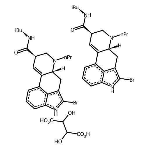 CCCN1C[C@H](C(=O)N[C@H](C)CC)C=C2c3cccc4[nH]c(Br)c(c34)C[C@H]21.CCCN1C[C@H](C(=O)N[C@H](C)CC)C=C2c3cccc4[nH]c(Br)c(c34)C[C@H]21.O=C(O)C(O)C(O)C(=O)O